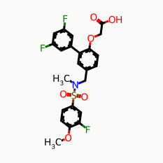 COc1ccc(S(=O)(=O)N(C)Cc2ccc(OCC(=O)O)c(-c3cc(F)cc(F)c3)c2)cc1F